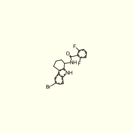 O=C(NC1CCCc2c1[nH]c1ccc(Br)cc21)c1c(F)cccc1F